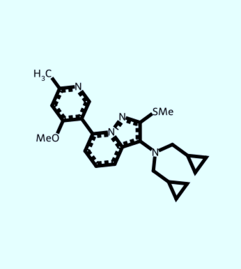 COc1cc(C)ncc1-c1cccc2c(N(CC3CC3)CC3CC3)c(SC)nn12